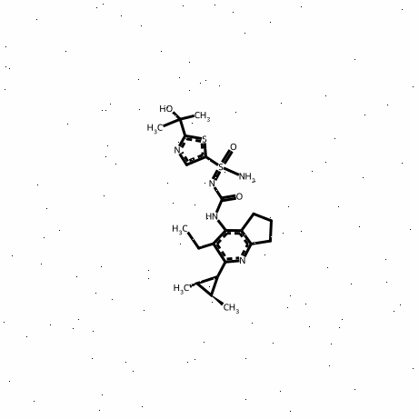 CCc1c(C2[C@@H](C)[C@H]2C)nc2c(c1NC(=O)N=S(N)(=O)c1cnc(C(C)(C)O)s1)CCC2